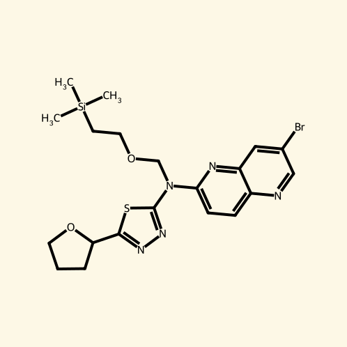 C[Si](C)(C)CCOCN(c1ccc2ncc(Br)cc2n1)c1nnc(C2CCCO2)s1